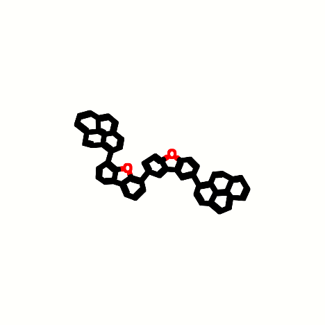 c1cc2ccc3ccc(-c4ccc5oc6ccc(-c7cccc8c7oc7c(-c9ccc%10ccc%11cccc%12ccc9c%10c%11%12)cccc78)cc6c5c4)c4ccc(c1)c2c34